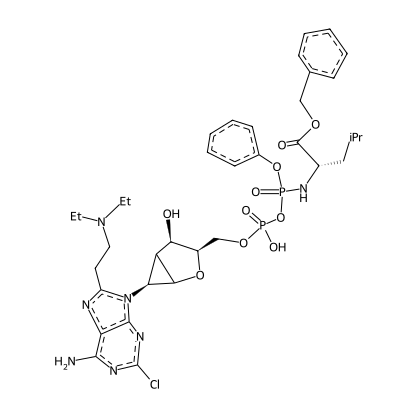 CCN(CC)CCc1nc2c(N)nc(Cl)nc2n1[C@@H]1C2O[C@H](COP(=O)(O)OP(=O)(N[C@@H](CC(C)C)C(=O)OCc3ccccc3)Oc3ccccc3)[C@H](O)C21